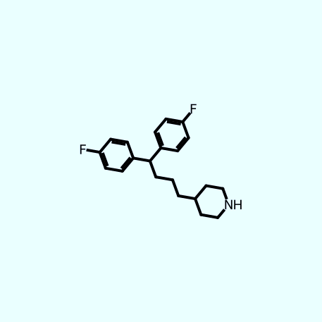 Fc1ccc(C(CCCC2CCNCC2)c2ccc(F)cc2)cc1